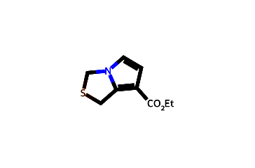 CCOC(=O)c1ccn2c1CSC2